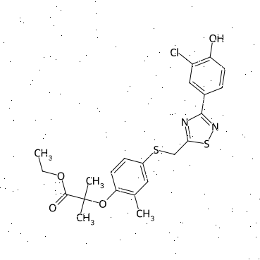 CCOC(=O)C(C)(C)Oc1ccc(SCc2nc(-c3ccc(O)c(Cl)c3)ns2)cc1C